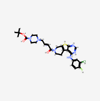 CC(C)(C)OC(=O)N1CCN(C/C=C/C(=O)N2CCc3c(sc4ncnc(Nc5ccc(F)c(Cl)c5)c34)C2)CC1